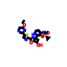 CCOc1cncc(-c2cnc(C(=O)N[C@]3(c4cc(NS(=O)(=O)C5CC5)ccn4)C[C@H](O)C3)s2)n1